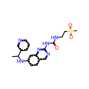 CC(Nc1ccc2cnc(NC(=O)NCCS(C)(=O)=O)nc2c1)c1cccnc1